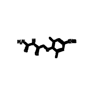 Cc1cc(C=O)cc(C)c1OCC(=O)NC(N)=O